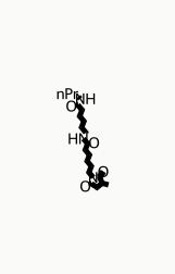 CCCNC(=O)CCCCCNC(=O)CCCCCN1C(=O)CC(C)C1=O